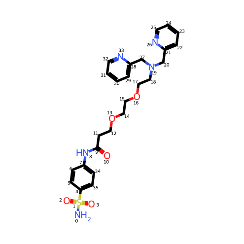 NS(=O)(=O)c1ccc(NC(=O)CCOCCOCCN(Cc2ccccn2)Cc2ccccn2)cc1